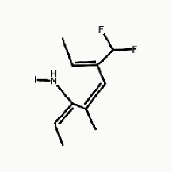 C/C=C(/C=C(C)\C(=C/C)NI)C(F)F